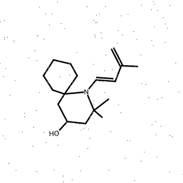 C=C(C)C=CN1C(C)(C)CC(O)CC12CCCCC2